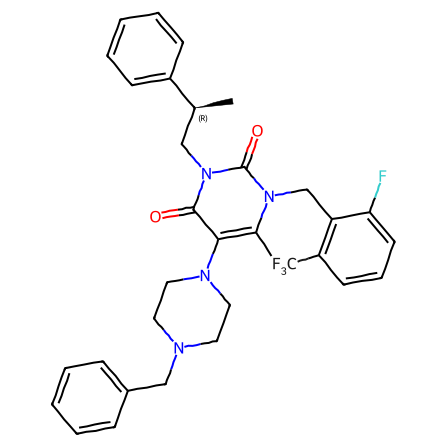 Cc1c(N2CCN(Cc3ccccc3)CC2)c(=O)n(C[C@H](C)c2ccccc2)c(=O)n1Cc1c(F)cccc1C(F)(F)F